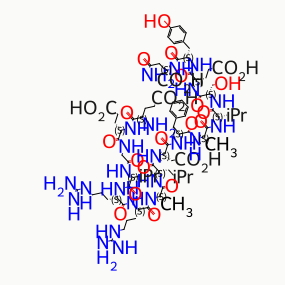 CC(C)C[C@H](NC(=O)[C@H](C)NC(=O)[C@H](CCCNC(=N)N)NC(=O)[C@H](CCCNC(=N)N)NC(=O)[C@@H](NC(=O)CNC(=O)[C@H](CCC(=O)O)NC(=O)[C@@H](N)CCC(=O)O)C(C)C)C(=O)N[C@@H](CC(=O)O)C(=O)N[C@@H](Cc1ccccc1)C(=O)N[C@@H](C)C(=O)N[C@H](C(=O)N[C@@H](CO)C(=O)N[C@@H](CCC(=O)O)C(=O)N[C@@H](Cc1ccc(O)cc1)C(=O)N[C@@H](CC(N)=O)C(=O)O)C(C)C